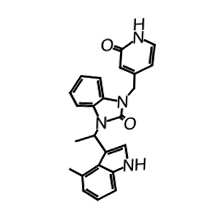 Cc1cccc2[nH]cc(C(C)n3c(=O)n(Cc4cc[nH]c(=O)c4)c4ccccc43)c12